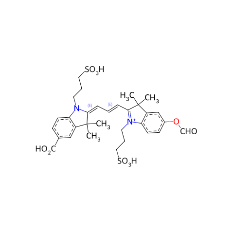 CC1(C)C(/C=C/C=C2/N(CCCS(=O)(=O)O)c3ccc(C(=O)O)cc3C2(C)C)=[N+](CCCS(=O)(=O)O)c2ccc(OC=O)cc21